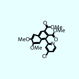 COC(=O)c1cc2cc(OC)c(OC)cc2c(-c2cc(Cl)ccn2)c1C(=O)OC